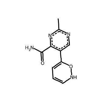 Cc1ncc(C2=CC=CNO2)c(C(N)=O)n1